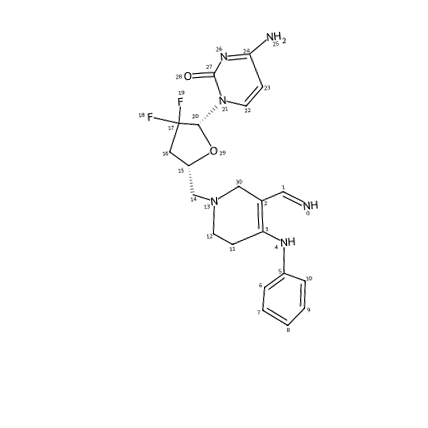 N=CC1=C(Nc2ccccc2)CCN(C[C@@H]2CC(F)(F)[C@H](n3ccc(N)nc3=O)O2)C1